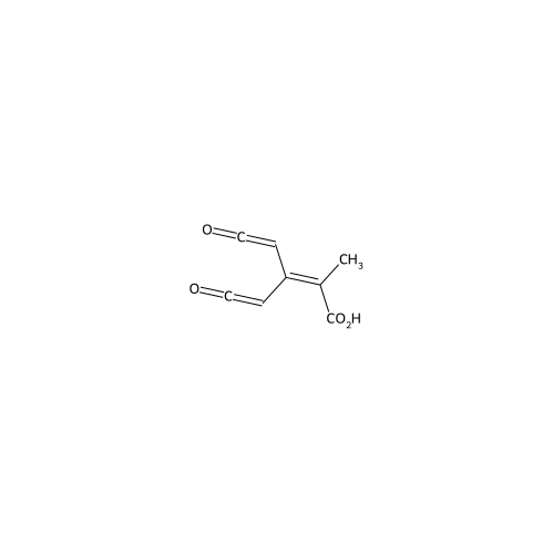 CC(C(=O)O)=C(C=C=O)C=C=O